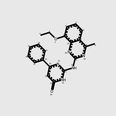 CCOc1cccc2c(C)nc(Nc3nc(-c4ccccc4)cc(=O)[nH]3)nc12